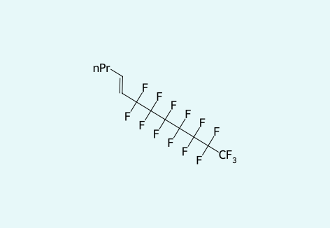 [CH2]CCC=CC(F)(F)C(F)(F)C(F)(F)C(F)(F)C(F)(F)C(F)(F)C(F)(F)F